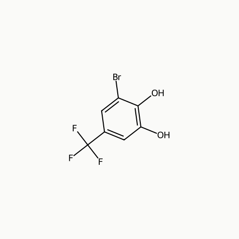 Oc1cc(C(F)(F)F)cc(Br)c1O